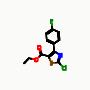 CCOC(=O)c1sc(Cl)nc1-c1ccc(F)cc1